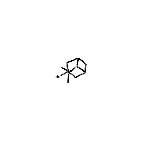 CN(C)N1C2CC1CN(C(C)(C)C)C2